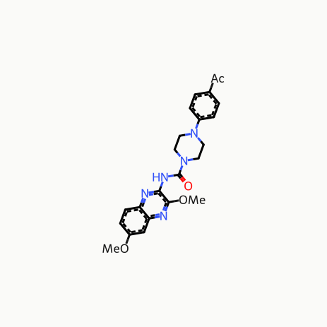 COc1ccc2nc(NC(=O)N3CCN(c4ccc(C(C)=O)cc4)CC3)c(OC)nc2c1